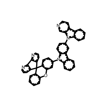 c1ccc2c(c1)Oc1cc(-n3c4ccccc4c4cc(-n5c6ccccc6c6ccncc65)ccc43)ccc1C21c2cccnc2-c2ncccc21